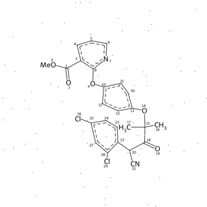 COC(=O)c1cccnc1Oc1ccc(OC(C)(C)C(=O)C(C#N)c2ccc(Cl)cc2Cl)cc1